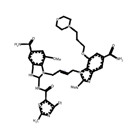 CCc1nc(C)sc1C(=O)NC1Nc2cc(C(N)=O)cc(OC)c2N1C/C=C/Cn1c(NC)nc2cc(C(N)=O)cc(OCCCN3CCOCC3)c21